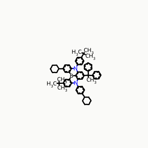 CC(C)(C)c1ccc(N2c3ccc(C4CCCCC4)cc3B3c4cc(C(C)(C)C)ccc4N(c4ccc(C5CCCCC5)cc4)c4cc(C(C)(c5ccccc5)c5ccccc5)cc2c43)cc1